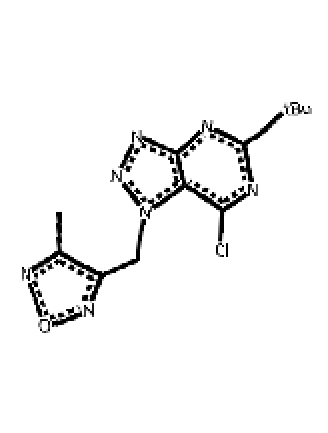 Cc1nonc1Cn1nnc2nc(C(C)(C)C)nc(Cl)c21